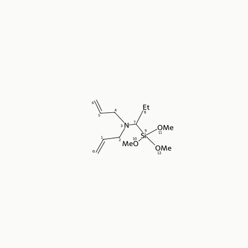 C=CCN(CC=C)C(CC)[Si](OC)(OC)OC